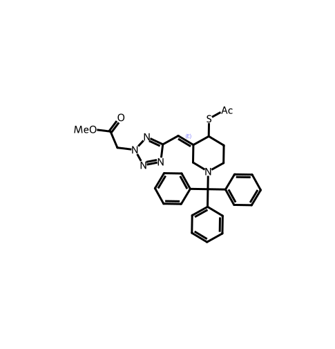 COC(=O)Cn1nnc(/C=C2\CN(C(c3ccccc3)(c3ccccc3)c3ccccc3)CCC2SC(C)=O)n1